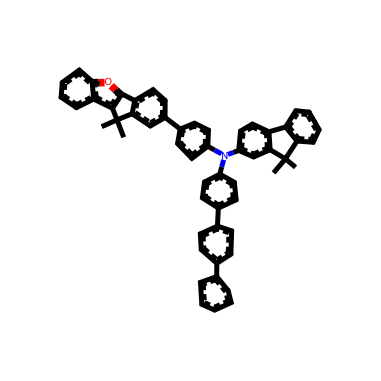 CC1(C)c2ccccc2-c2ccc(N(c3ccc(-c4ccc(-c5ccccc5)cc4)cc3)c3ccc(-c4ccc5c(c4)C(C)(C)c4c-5oc5ccccc45)cc3)cc21